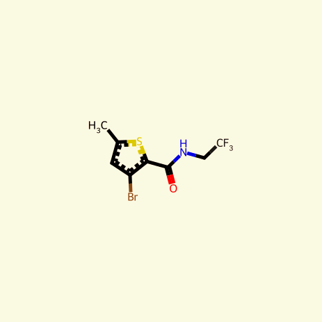 Cc1cc(Br)c(C(=O)NCC(F)(F)F)s1